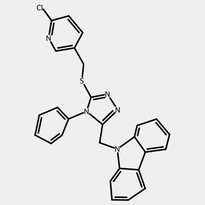 Clc1ccc(CSc2nnc(Cn3c4ccccc4c4ccccc43)n2-c2ccccc2)cn1